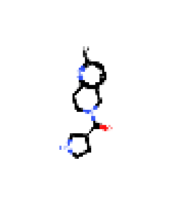 CC(C)c1ccc2c(n1)CCN(C(=O)[C@H]1CCNC1)C2